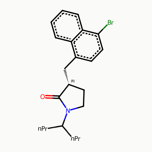 CCCC(CCC)N1CC[C@@H](Cc2ccc(Br)c3ccccc23)C1=O